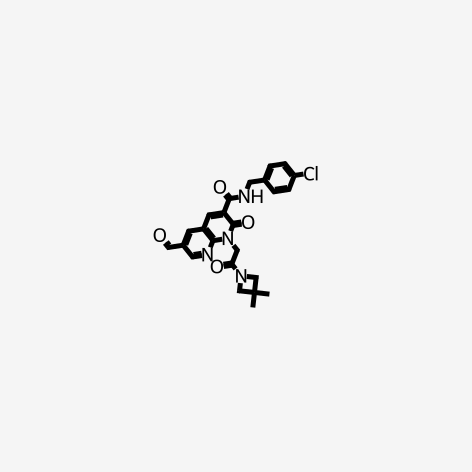 CC1(C)CN(C(=O)Cn2c(=O)c(C(=O)NCc3ccc(Cl)cc3)cc3cc(C=O)cnc32)C1